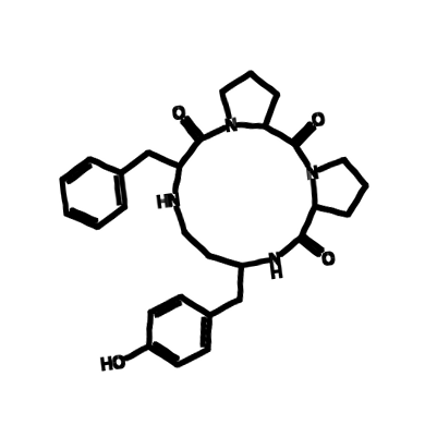 O=C1NC(Cc2ccc(O)cc2)CCNC(Cc2ccccc2)C(=O)N2CCCC2C(=O)N2CCCC12